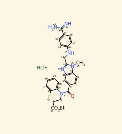 CCOC(=O)CCN(C(=O)c1ccc2c(c1)nc(CNc1ccc(C(=N)N)cc1)n2C)c1ccccc1F.Cl